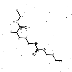 CCCCOC(=O)NCCCC(C)C(=O)OCC